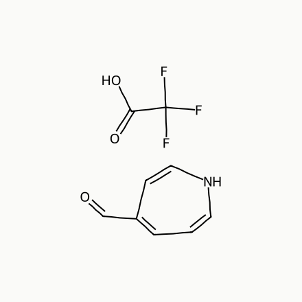 O=C(O)C(F)(F)F.O=CC1=CC=CNC=C1